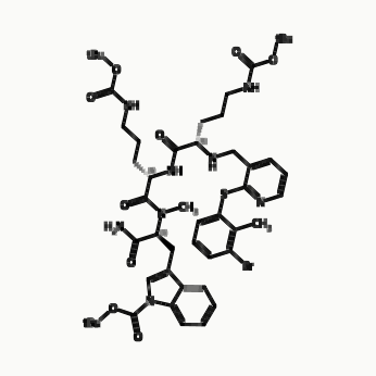 Cc1c(Br)cccc1Sc1ncccc1CN[C@@H](CCCNC(=O)OC(C)(C)C)C(=O)N[C@@H](CCCNC(=O)OC(C)(C)C)C(=O)N(C)[C@@H](Cc1cn(C(=O)OC(C)(C)C)c2ccccc12)C(N)=O